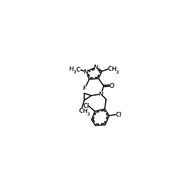 Cc1nn(C)c(F)c1C(=O)N(Cc1c(Cl)cccc1Cl)C1CC1C